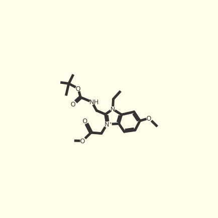 CCn1c(CNC(=O)OC(C)(C)C)[n+](CC(=O)OC)c2ccc(OC)cc21